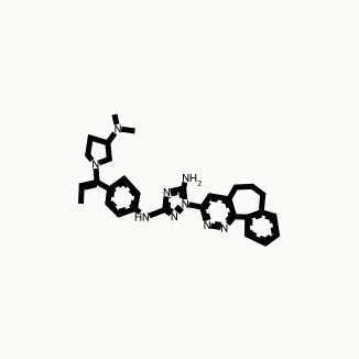 C/C=C(\c1ccc(Nc2nc(N)n(-c3cc4c(nn3)-c3ccccc3CCC4)n2)cc1)N1CCC(N(C)C)C1